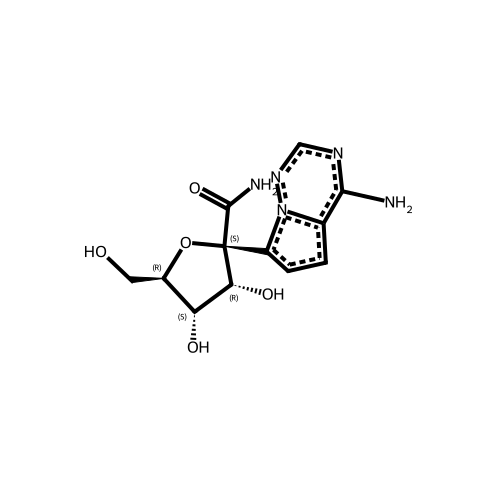 NC(=O)[C@@]1(c2ccc3c(N)ncnn23)O[C@H](CO)[C@@H](O)[C@H]1O